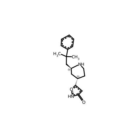 CC(C)(C[C@@H]1C[C@@H](c2cc(=O)[nH]o2)CCN1)c1ccccc1